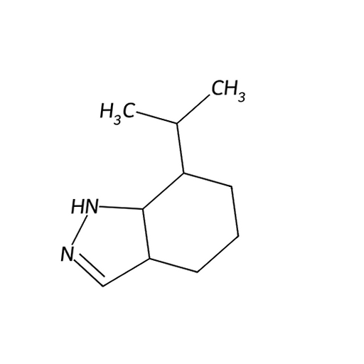 CC(C)C1CCCC2C=NNC21